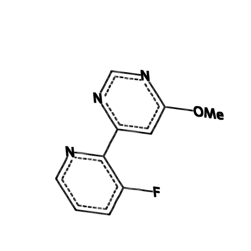 COc1cc(-c2ncccc2F)ncn1